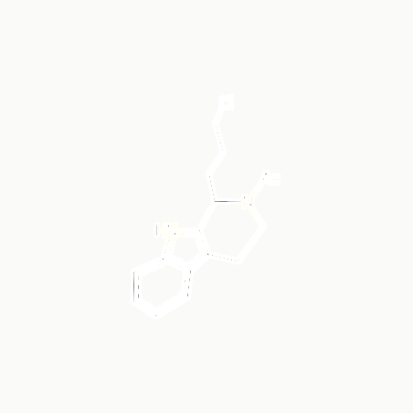 CC(=O)N1CCc2c([nH]c3ccccc23)C1CCCCl